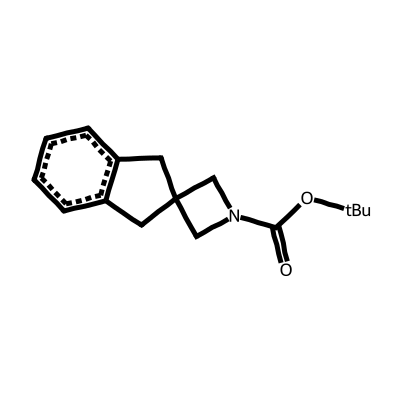 CC(C)(C)OC(=O)N1CC2(Cc3ccccc3C2)C1